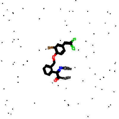 CNC(=O)C(=NOC)c1ccccc1COc1ccc(C=C(Cl)Cl)cc1Br